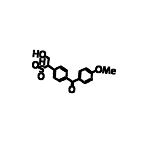 COc1ccc(C(=O)c2ccc(C(CO)[SH](=O)=O)cc2)cc1